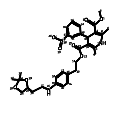 COC(=O)C1=C(C)NC(C)=C(C(=O)OCCc2ccc(NCCC3COC(C)(C)O3)cc2)C1c1cccc([N+](=O)[O-])c1